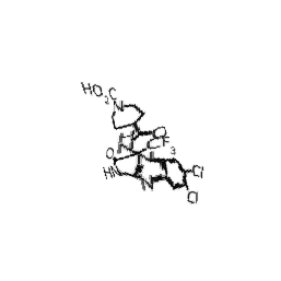 O=C(NC1(C(F)(F)F)C(=O)Nc2nc3cc(Cl)c(Cl)cc3n21)C1CCN(C(=O)O)CC1